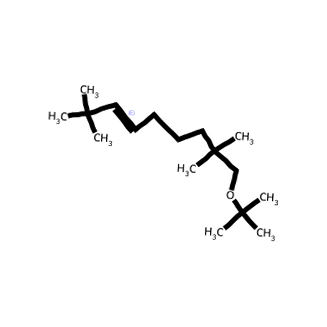 CC(C)(C)/C=C/CCCC(C)(C)COC(C)(C)C